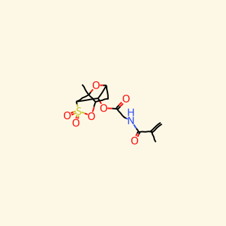 C=C(C)C(=O)NCC(=O)OC1C2CC3OS(=O)(=O)C1C3(C)O2